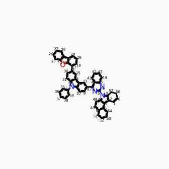 C1=Cc2c(n(-c3nc(-c4ccc5c(c4)c4cc(-c6cccc7c6oc6ccccc67)ccc4n5-c4ccccc4)c4ccccc4n3)c3ccc4ccccc4c23)CC1